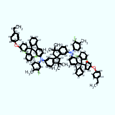 C=Cc1ccc(Oc2ccc(C3(C4=C(F)CCC=C4F)c4ccccc4-c4ccc(N(c5ccc(C)c(F)c5)c5ccc6c(c5)C5(CC6(C)C)CC(C)(C)c6ccc(N(c7ccc(C)c(F)c7)c7ccc8c(c7)C(c7ccc(Oc9ccc(C=C)cc9)cc7)(c7c(F)cccc7F)c7ccccc7-8)cc65)cc43)cc2)cc1